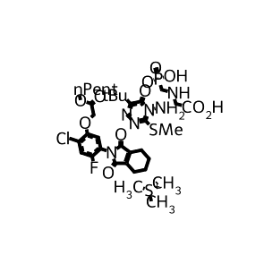 CCCCCOC(=O)COc1cc(N2C(=O)C3=C(CCCC3)C2=O)c(F)cc1Cl.CSc1nnc(C(C)(C)C)c(=O)n1N.C[S+](C)C.O=C(O)CNCP(=O)([O-])O